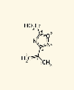 C=C(C)c1noc(C(=O)O)n1